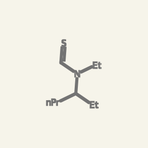 CCCC(CC)N(C=S)CC